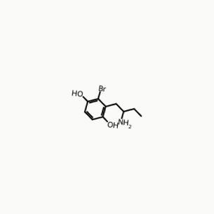 CCC(N)Cc1c(O)ccc(O)c1Br